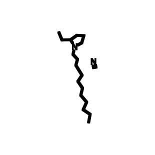 C#N.CCCCCCCCCCCN1CCCC1CC